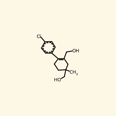 CC1(CO)CCC(c2ccc(Cl)cc2)=C(CO)C1